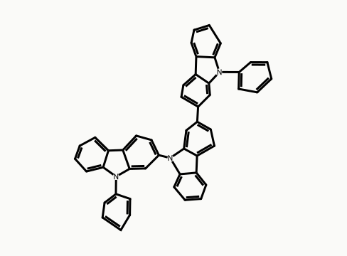 c1ccc(-n2c3ccccc3c3ccc(-c4ccc5c6ccccc6n(-c6ccc7c8ccccc8n(-c8ccccc8)c7c6)c5c4)cc32)cc1